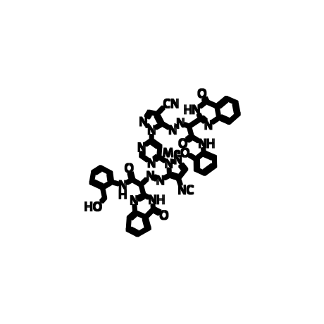 [C-]#[N+]c1cnn(-c2cc(-n3ncc(C#N)c3N=NC(C(=O)Nc3ccccc3OC)c3nc4ccccc4c(=O)[nH]3)ncn2)c1N=NC(C(=O)Nc1ccccc1CO)c1nc2ccccc2c(=O)[nH]1